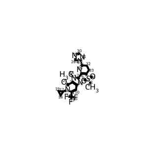 CCS(=O)(=O)C1=C(c2nc3cc(C(F)(F)F)n(C4CC4)c(=O)c3n2C)N=C(n2cncn2)CC1